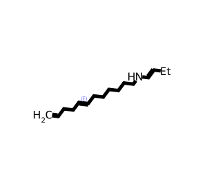 C=CCC/C=C/CCCCCCNC=CCC